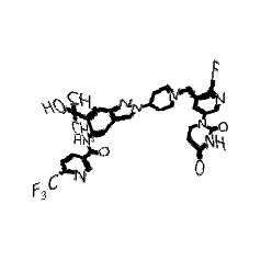 CC(C)(O)c1cc2nn(C3CCN(Cc4cc(N5CCC(=O)NC5=O)cnc4F)CC3)cc2cc1NC(=O)c1ccc(C(F)(F)F)nc1